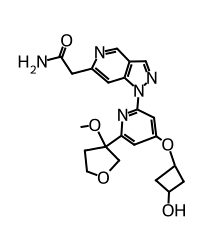 COC1(c2cc(OC3CC(O)C3)cc(-n3ncc4cnc(CC(N)=O)cc43)n2)CCOC1